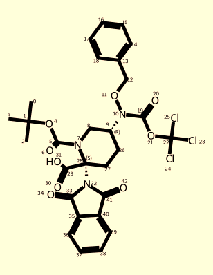 CC(C)(C)OC(=O)N1C[C@H](N(OCc2ccccc2)C(=O)OC(Cl)(Cl)Cl)CC[C@]1(C(=O)O)N1C(=O)c2ccccc2C1=O